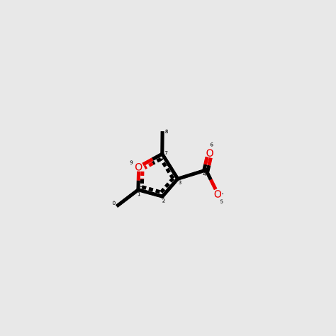 Cc1cc(C([O])=O)c(C)o1